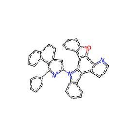 c1ccc(-c2nc(-n3c4ccccc4c4c5cccnc5c5oc6ccccc6c5c43)cc3ccc4ccccc4c23)cc1